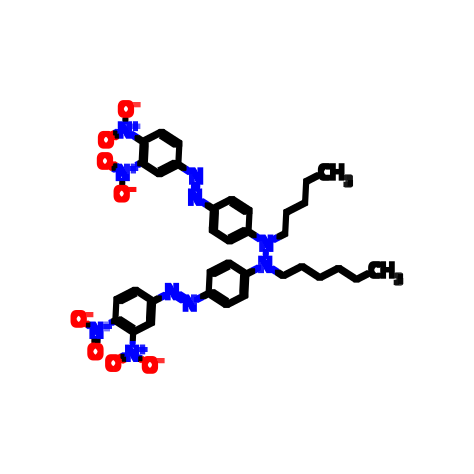 CCCCCCN(c1ccc(N=Nc2ccc([N+](=O)[O-])c([N+](=O)[O-])c2)cc1)N(CCCCC)c1ccc(N=Nc2ccc([N+](=O)[O-])c([N+](=O)[O-])c2)cc1